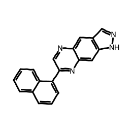 c1ccc2c(-c3cnc4cc5cn[nH]c5cc4n3)cccc2c1